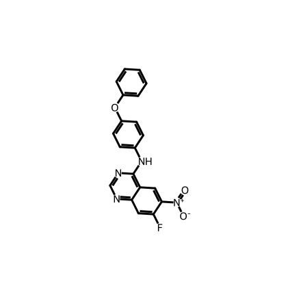 O=[N+]([O-])c1cc2c(Nc3ccc(Oc4ccccc4)cc3)ncnc2cc1F